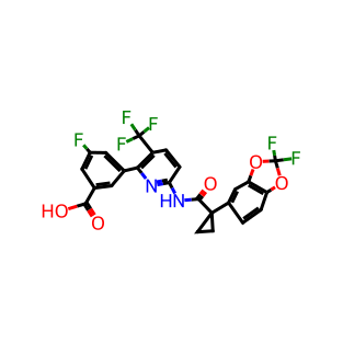 O=C(O)c1cc(F)cc(-c2nc(NC(=O)C3(c4ccc5c(c4)OC(F)(F)O5)CC3)ccc2C(F)(F)F)c1